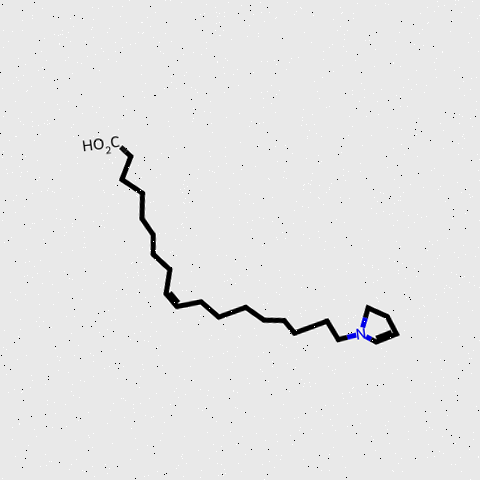 O=C(O)CCCCCCC/C=C\CCCCCCCCN1C=CCC1